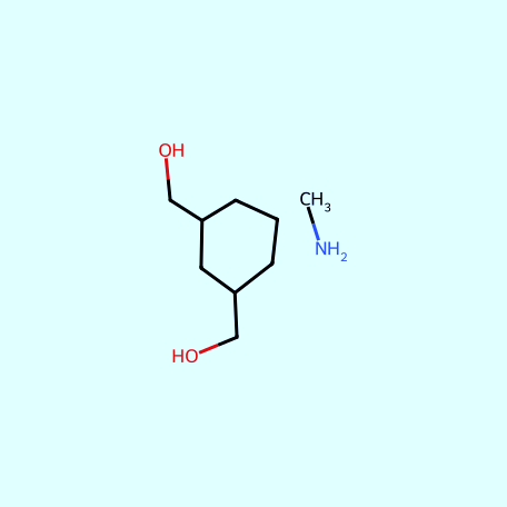 CN.OCC1CCCC(CO)C1